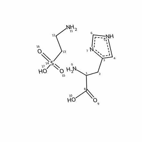 NC(Cc1c[nH]cn1)C(=O)O.NCCS(=O)(=O)O